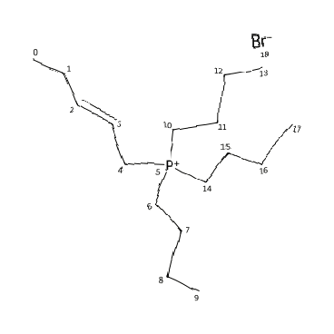 CCC=CC[P+](CCCC)(CCCC)CCCC.[Br-]